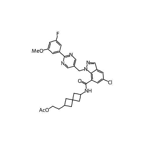 COc1cc(F)cc(-c2ncc(Cn3ncc4cc(Cl)cc(C(=O)NC5CC6(CC(CCOC(C)=O)C6)C5)c43)cn2)c1